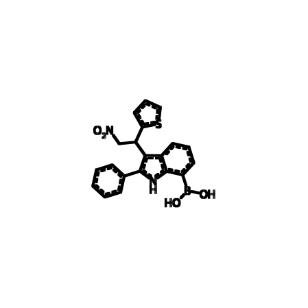 O=[N+]([O-])CC(c1cccs1)c1c(-c2ccccc2)[nH]c2c(B(O)O)cccc12